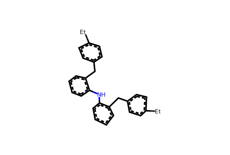 CCc1ccc(Cc2ccccc2Nc2ccccc2Cc2ccc(CC)cc2)cc1